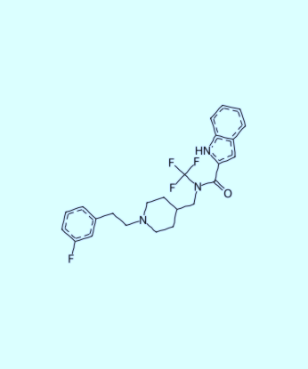 O=C(c1cc2ccccc2[nH]1)N(CC1CCN(CCc2cccc(F)c2)CC1)C(F)(F)F